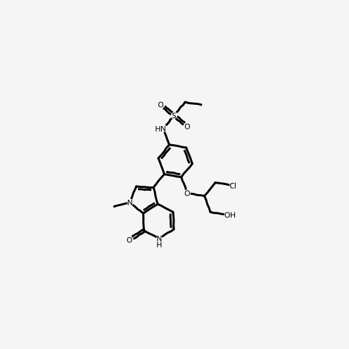 CCS(=O)(=O)Nc1ccc(OC(CO)CCl)c(-c2cn(C)c3c(=O)[nH]ccc23)c1